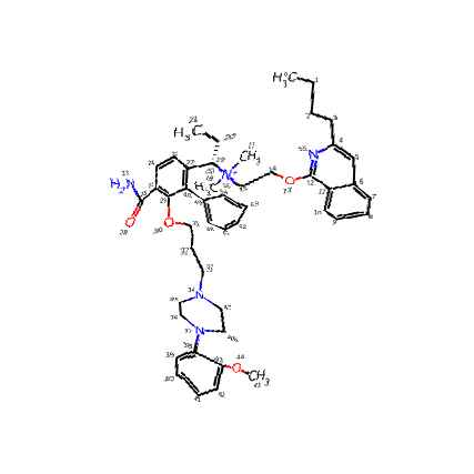 CCCCc1cc2ccccc2c(OCC[N+](C)(C)[C@@H](CC)c2ccc(C(N)=O)c(OCCCN3CCN(c4ccccc4OC)CC3)c2-c2ccccc2)n1